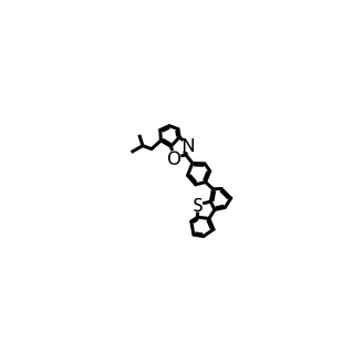 CC(C)Cc1cccc2nc(-c3ccc(-c4cccc5c4sc4ccccc45)cc3)oc12